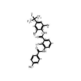 N#Cc1ccc(C(=O)Nc2cccc(C(=O)Nc3c(Br)cc(C(F)(C(F)(F)F)C(F)(F)F)cc3Br)c2F)cc1